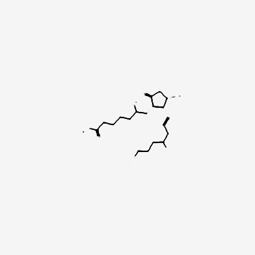 CCCCC(C)C/C=C/[C@H]1[C@H](O)CC(=O)[C@@H]1CC(O)CCCCC(=O)OC